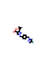 O=C(O)c1cn(Cc2ccc(Cn3cc(F)cn3)cc2)nc1C1CC1